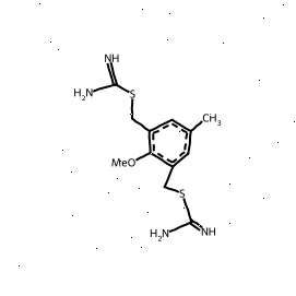 COc1c(CSC(=N)N)cc(C)cc1CSC(=N)N